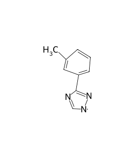 Cc1cccc(C2=N[N]C=N2)c1